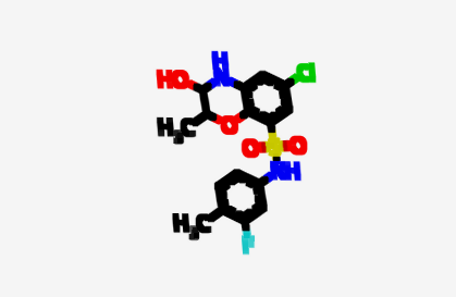 Cc1ccc(NS(=O)(=O)c2cc(Cl)cc3c2OC(C)C(O)N3)cc1F